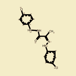 CC(=NNc1ccc(Cl)cc1)C(=O)NNc1ccc(Cl)cc1